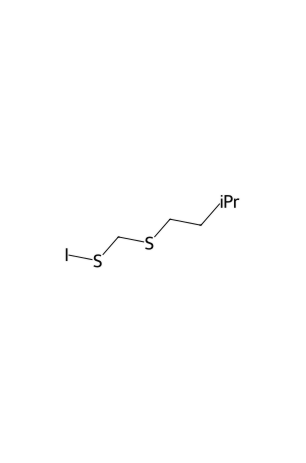 CC(C)CCSCSI